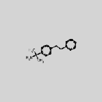 CC(C)(N)c1ccc(CCc2ccccc2)cc1